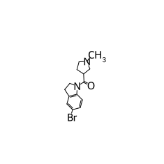 CN1CCC(C(=O)N2CCc3cc(Br)ccc32)C1